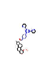 CC1C[C@H]2[C@@H]3CCC4=CC(=O)C=C(OS(C)(=O)=O)[C@]4(C)C3=CC[C@]2(C)[C@H]1C(=O)CN1CCN(c2nc(-c3ccccn3)nc(-c3ccccn3)n2)CC1